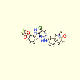 CN1Cc2cc(Nc3ncc(Cl)c(Nc4cccc5c4OC(F)(F)O5)n3)ccc2CCC1=O